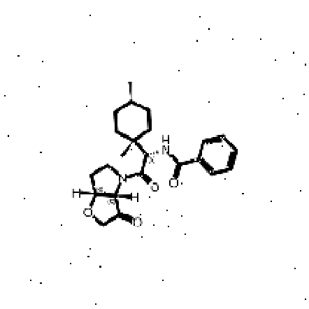 C[C@H]1CC[C@](C)([C@H](NC(=O)c2ccccc2)C(=O)N2CC[C@H]3OCC(=O)[C@H]32)CC1